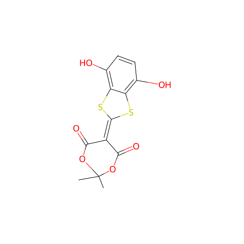 CC1(C)OC(=O)C(=C2Sc3c(O)ccc(O)c3S2)C(=O)O1